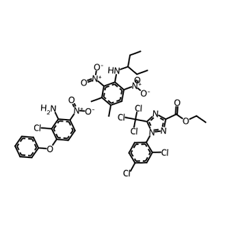 CCC(CC)Nc1c([N+](=O)[O-])cc(C)c(C)c1[N+](=O)[O-].CCOC(=O)c1nc(C(Cl)(Cl)Cl)n(-c2ccc(Cl)cc2Cl)n1.Nc1c([N+](=O)[O-])ccc(Oc2ccccc2)c1Cl